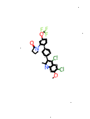 COc1cc2nc(C)c(-c3ccc(-c4ccc(OC(F)(F)F)cc4N4CCCC4=O)cc3)c(Cl)c2cc1Cl